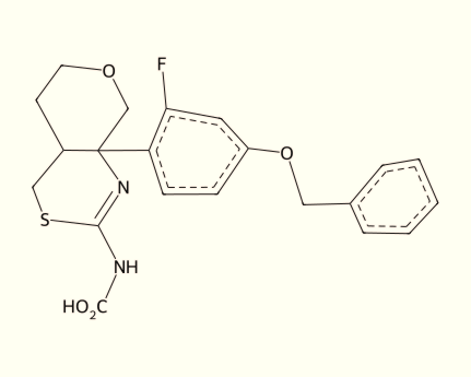 O=C(O)NC1=NC2(c3ccc(OCc4ccccc4)cc3F)COCCC2CS1